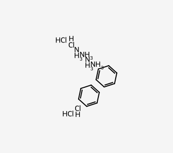 Cl.Cl.Cl.Cl.N.N.N.N.c1ccccc1.c1ccccc1